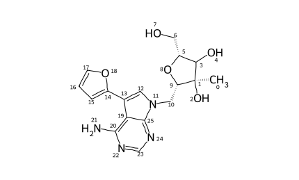 C[C@@]1(O)C(O)[C@@H](CO)O[C@H]1Cn1cc(-c2ccco2)c2c(N)ncnc21